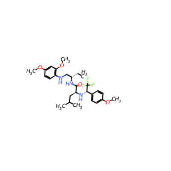 CC[C@@H](CNc1ccc(OC)cc1OC)NC(=O)[C@H](CC(C)C)N[C@@H](c1ccc(OC)cc1)C(F)(F)F